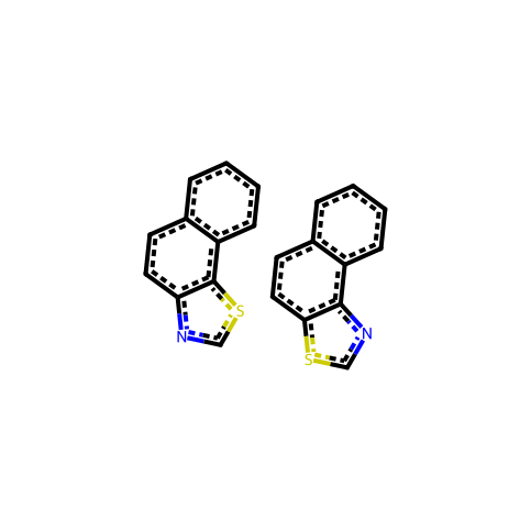 c1ccc2c(c1)ccc1ncsc12.c1ccc2c(c1)ccc1scnc12